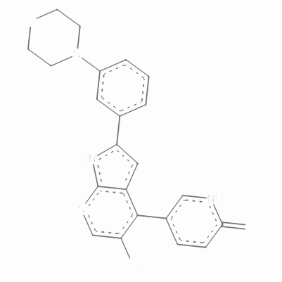 O=c1ccc(-c2c(C(F)(F)F)cnc3[nH]c(-c4cccc(N5CCOCC5)c4)cc23)c[nH]1